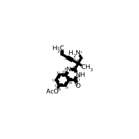 C=CC#CC(C)(CN)c1nc2ccc(OC(C)=O)cc2c(=O)[nH]1